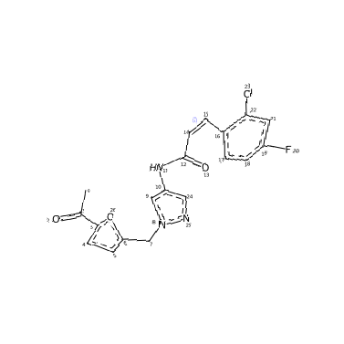 CC(=O)c1ccc(Cn2cc(NC(=O)/C=C\c3ccc(F)cc3Cl)cn2)o1